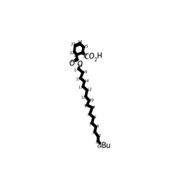 CCC(C)CCCCCCCCCCCCCCCCCOC(=O)C1CC=CCC1C(=O)O